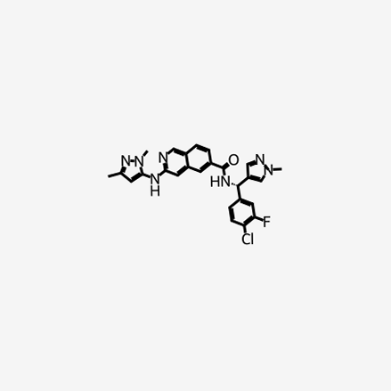 Cc1cc(Nc2cc3cc(C(=O)N[C@@H](c4ccc(Cl)c(F)c4)c4cnn(C)c4)ccc3cn2)n(C)n1